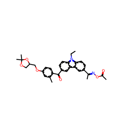 CCn1c2ccc(C(=O)c3ccc(OCC4COC(C)(C)O4)cc3C)cc2c2cc(C(C)=NOC(C)=O)ccc21